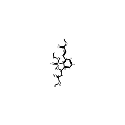 CCOP1(=O)OC(CC(=O)OC)c2cccc(/C=C/C(=O)OC)c21